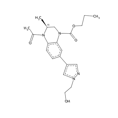 CCCOC(=O)N1C[C@H](C)N(C(C)=O)c2ccc(-c3cnn(CCO)c3)cc21